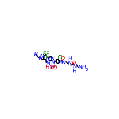 N#CCn1cc(-c2cnc3c(Nc4ccc(C(=O)NCCNCC(=O)NCCN)c(Cl)c4)nccn23)c(C(F)(F)F)n1.O=CO